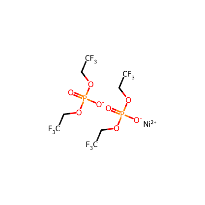 O=P([O-])(OCC(F)(F)F)OCC(F)(F)F.O=P([O-])(OCC(F)(F)F)OCC(F)(F)F.[Ni+2]